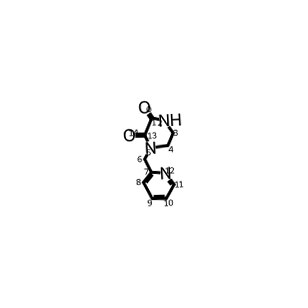 O=C1NCCN(Cc2ccccn2)C1=O